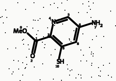 COC(=O)c1ncc(N)cc1S